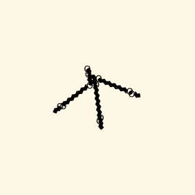 C=CCOOCCCCCCCCCCCOc1cc(OC=O)cc(OCCCCCCCCCCCOOCC=C)c1OCCCCCCCCCCCOOCC=C